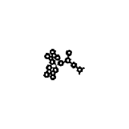 Cc1cc(C)cc(-c2ccc(-c3cc(-c4ccccc4)cc(-c4ccc(N(c5ccc6c(c5)C5(c7ccccc7-c7ccccc75)c5ccccc5-6)c5ccc6c(c5)C5(c7ccccc7-c7ccccc75)c5ccccc5-6)cc4)c3)cc2)c1